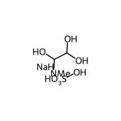 CNC(O)C(O)O.O=S(=O)(O)O.[NaH]